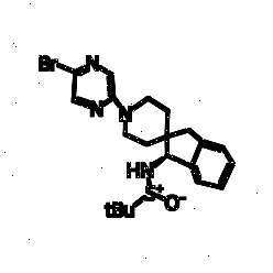 CC(C)(C)[S+]([O-])N[C@@H]1c2ccccc2CC12CCN(c1cnc(Br)cn1)CC2